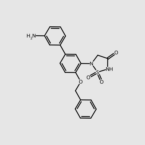 Nc1cccc(-c2ccc(OCc3ccccc3)c(N3CC(=O)NS3(=O)=O)c2)c1